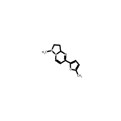 Cc1ccc(C2=NC3CCN(C)N3C=C2)o1